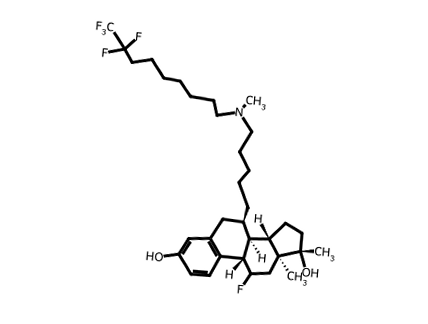 CN(CCCCCCCC(F)(F)C(F)(F)F)CCCCC[C@@H]1Cc2cc(O)ccc2[C@H]2C(F)C[C@@]3(C)[C@@H](CC[C@]3(C)O)[C@H]12